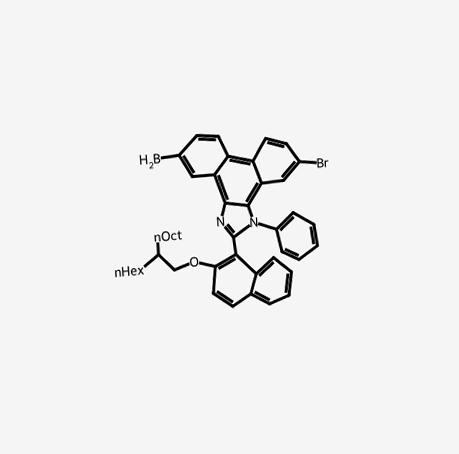 Bc1ccc2c3ccc(Br)cc3c3c(nc(-c4c(OCC(CCCCCC)CCCCCCCC)ccc5ccccc45)n3-c3ccccc3)c2c1